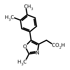 Cc1nc(CC(=O)O)c(-c2ccc(C)c(C)c2)o1